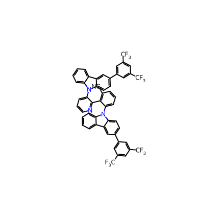 N#Cc1cccc(-n2c3ccccc3c3cc(-c4cc(C(F)(F)F)cc(C(F)(F)F)c4)ccc32)c1-c1ncccc1-n1c2ccccc2c2cc(-c3cc(C(F)(F)F)cc(C(F)(F)F)c3)ccc21